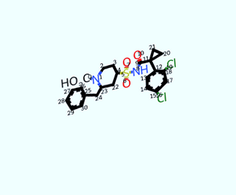 O=C(O)N1CCC(S(=O)(=O)NC(=O)C2(c3ccc(Cl)cc3Cl)CC2)CC1Cc1ccccc1